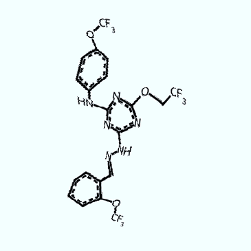 FC(F)(F)COc1nc(N/N=C/c2ccccc2OC(F)(F)F)nc(Nc2ccc(OC(F)(F)F)cc2)n1